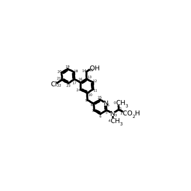 CC(C(=O)O)N(C)c1ccc(Cc2ccc(CO)c(-c3cccc(Cl)c3)c2)cn1